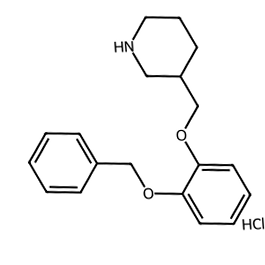 Cl.c1ccc(COc2ccccc2OCC2CCCNC2)cc1